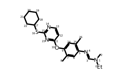 CCN(C)C=Nc1cc(C)c(Oc2ccnc(SC3CCCCC3)n2)cc1C